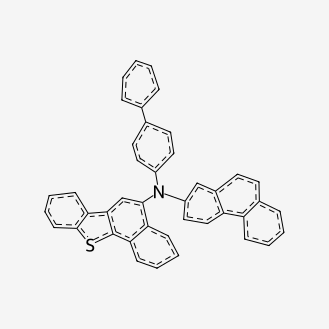 c1ccc(-c2ccc(N(c3ccc4c(ccc5ccccc54)c3)c3cc4c5ccccc5sc4c4ccccc34)cc2)cc1